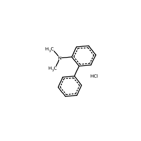 CN(C)c1ccccc1-c1ccccc1.Cl